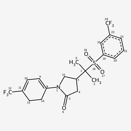 CC(C)(C1CC(=O)N(C2=CC=C(C(F)(F)F)CC2)C1)S(=O)(=O)c1cccc(C(F)(F)F)c1